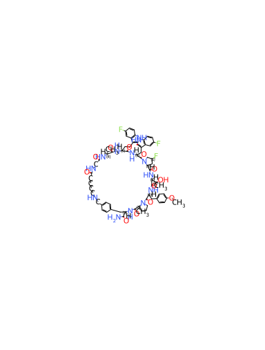 COc1ccc(C[C@@H]2NC(=O)[C@H]([C@@H](C)O)NC(=O)[C@@H]3C[C@H](F)CN3C(=O)[C@H](Cc3c[nH]c4ccc(F)cc34)NC(=O)[C@H](CCc3c[nH]c4ccc(F)cc34)NC(=O)[C@@H](C)NC(=O)CNC(=O)CCCCNCc3ccc(cc3)C[C@@H](C(N)=O)NC(=O)[C@]3(C)CCCN3C2=O)cc1